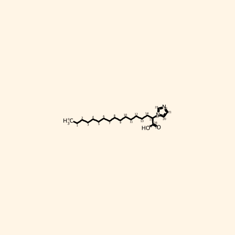 CCCCCCCCCCCCCCCC(C(=O)O)n1ccnc1